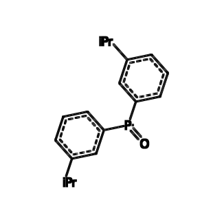 CC(C)c1cccc([P](=O)c2cccc(C(C)C)c2)c1